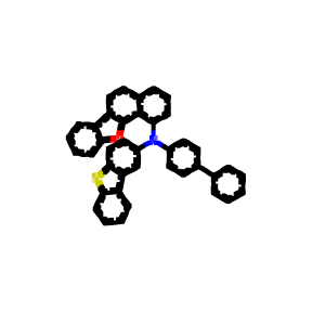 c1ccc(-c2ccc(N(c3ccc4sc5ccccc5c4c3)c3cccc4ccc5c6ccccc6oc5c34)cc2)cc1